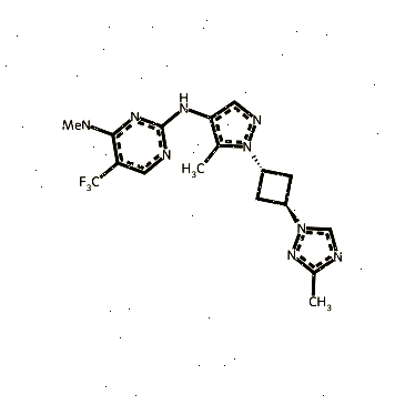 CNc1nc(Nc2cnn([C@H]3C[C@H](n4cnc(C)n4)C3)c2C)ncc1C(F)(F)F